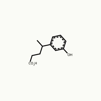 CC(CCC(=O)O)c1cccc(O)c1